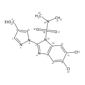 CCOC(=O)c1cnn(-c2nc3cc(Cl)c(Cl)cc3n2S(=O)(=O)N(C)C)c1